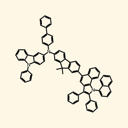 CC1(C)c2cc(-c3cc4c(-c5ccccc5)c(-c5ccccc5)n(-c5cccc6ccccc56)c4c4ccccc34)ccc2-c2ccc(N(c3ccc(-c4ccccc4)cc3)c3ccc4c(c3)c3ccccc3n4-c3ccccc3)cc21